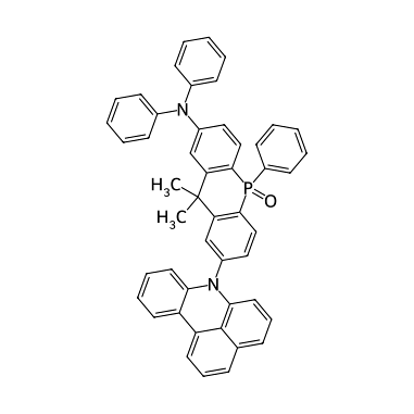 CC1(C)c2cc(N(c3ccccc3)c3ccccc3)ccc2P(=O)(c2ccccc2)c2ccc(N3c4ccccc4-c4cccc5cccc3c45)cc21